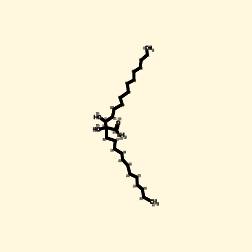 CCCCCCCCCCCCC(O)C(O)(CCCCCCCCCCCC)C(N)=O